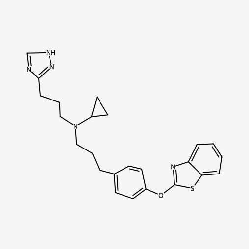 c1ccc2sc(Oc3ccc(CCCN(CCCc4nc[nH]n4)C4CC4)cc3)nc2c1